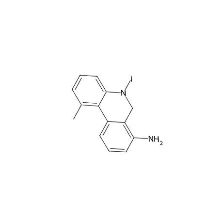 Cc1cccc2c1-c1cccc(N)c1CN2I